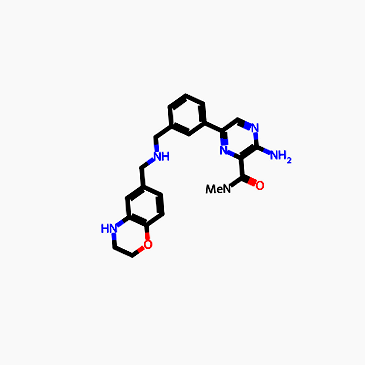 CNC(=O)c1nc(-c2cccc(CNCc3ccc4c(c3)NCCO4)c2)cnc1N